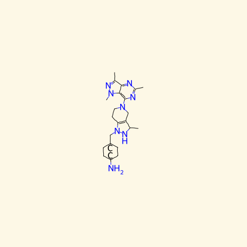 Cc1nc(N2CCC3=C(C2)C(C)NN3CC23CCC(N)(CC2)CC3)c2c(n1)c(C)nn2C